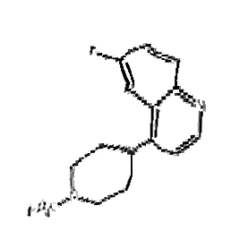 O=C(O)N1CCC(c2ccnc3ccc(F)cc23)CC1